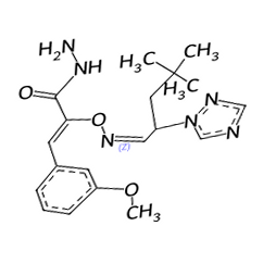 COc1cccc(C=C(O/N=C\C(CC(C)(C)C)n2cncn2)C(=O)NN)c1